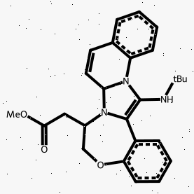 COC(=O)CC1COc2ccccc2C2=C(NC(C)(C)C)N3c4ccccc4C=CC3N21